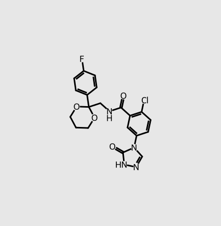 O=C(NCC1(c2ccc(F)cc2)OCCCO1)c1cc(-n2cn[nH]c2=O)ccc1Cl